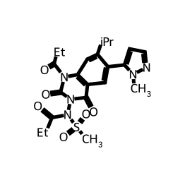 CCC(=O)N(n1c(=O)c2cc(-c3ccnn3C)c(C(C)C)cc2n(C(=O)CC)c1=O)S(C)(=O)=O